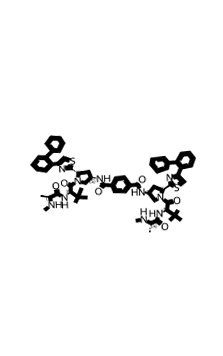 CN[C@@H](C)C(=O)N[C@H](C(=O)N1C[C@@H](NC(=O)c2ccc(C(=O)N[C@H]3C[C@@H](c4nc(-c5ccccc5-c5ccccc5)cs4)N(C(=O)[C@@H](NC(=O)[C@H](C)NC)C(C)(C)C)C3)cc2)C[C@H]1c1nc(-c2ccccc2-c2ccccc2)cs1)C(C)(C)C